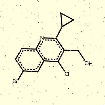 OCc1c(C2CC2)nc2ccc(Br)cc2c1Cl